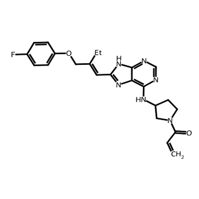 C=CC(=O)N1CCC(Nc2ncnc3[nH]c(/C=C(\CC)COc4ccc(F)cc4)nc23)C1